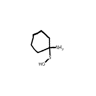 NC1(SO)CCCCC1